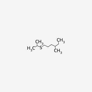 CCC(C)CCCSC(C)C